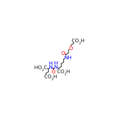 O=C(O)CCOCCC(=O)NCCCCC(NC(=O)NC(CCC(=O)O)C(=O)O)C(=O)O